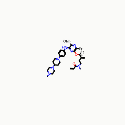 C=CC(=O)N(C)CCC(=C)[C@H](CC)Oc1nc(Nc2ccc(N3CCC(N4CCN(C)CC4)CC3)cc2)c(C=O)nc1CC